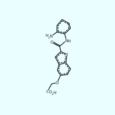 Nc1ccccc1NC(=O)c1cc2cc(OCC(=O)O)ccc2s1